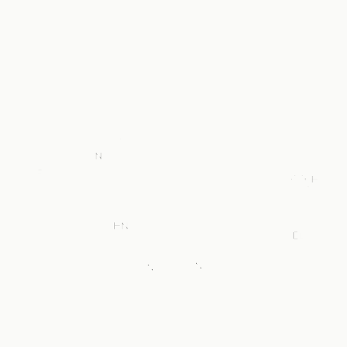 CCc1cc(-c2cc(NCCn3c(C)cc4c(C)ccc(F)c43)ncn2)ccc1C(=O)O